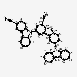 N#Cc1ccc2c(c1)c1ccccc1n2-c1cc(C#N)c2sc3ccc(-n4c5ccccc5c5ccccc54)cc3c2c1